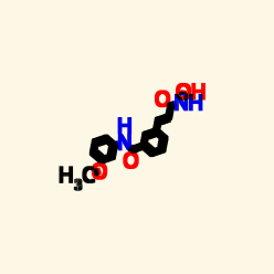 COc1cccc(NC(=O)c2cccc(C=CC(=O)NO)c2)c1